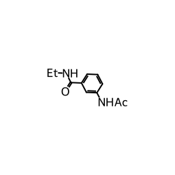 CCNC(=O)c1cccc(NC(C)=O)c1